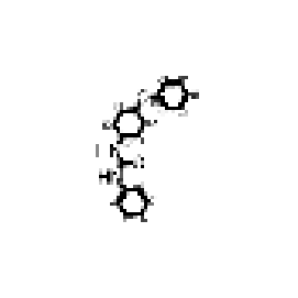 O=C(NC1=CCCC=C1)NC1CCC(Oc2ccccc2)CC1